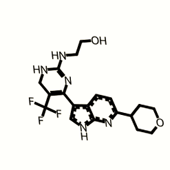 OCCNC1=NC(c2c[nH]c3nc(C4CCOCC4)ccc23)=C(C(F)(F)F)CN1